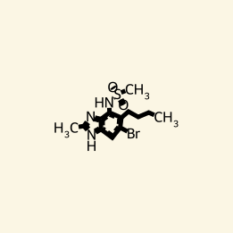 CCCCc1c(Br)cc2[nH]c(C)nc2c1NS(C)(=O)=O